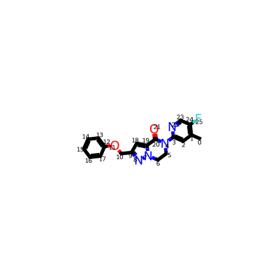 Cc1cc(N2CCn3nc(COc4ccccc4)cc3C2=O)ncc1F